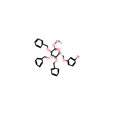 CO[C@H]1O[C@H](COc2cccc(Br)c2)[C@@H](OCc2ccccc2)[C@H](OCc2ccccc2)[C@H]1OCc1ccccc1